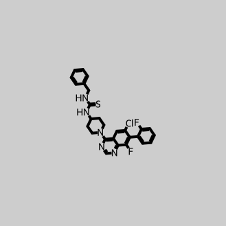 Fc1ccccc1-c1c(Cl)cc2c(N3CCC(NC(=S)NCc4ccccc4)CC3)ncnc2c1F